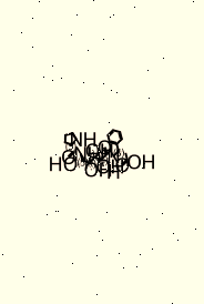 O=C(O)C[C@H](NC(=O)[C@@H](O)[C@H](O)[C@H](O)[C@H](CO)NC(=O)[C@@H]1CCCN1)c1ccccc1